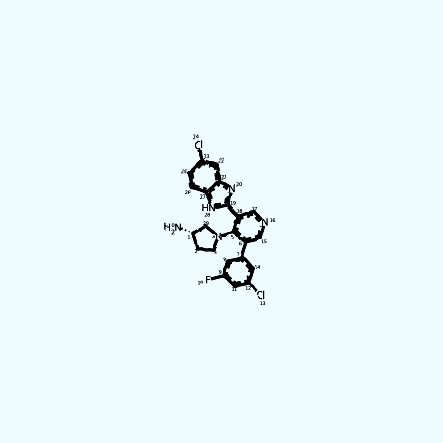 N[C@H]1CCN(c2c(-c3cc(F)cc(Cl)c3)cncc2-c2nc3cc(Cl)ccc3[nH]2)C1